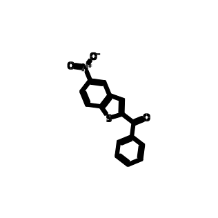 O=C(c1ccccc1)c1cc2cc([N+](=O)[O-])ccc2s1